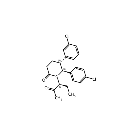 CC[C@@H](C(C)=O)N1C(=O)CC[C@H](c2cccc(Cl)c2)[C@H]1c1ccc(Cl)cc1